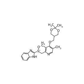 Cc1cnc(C[S+]([O-])c2nc3ccccc3[nH]2)c(C)c1OCC1COC(C)(C)OC1